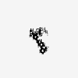 CC(C)(C)C(=O)Nc1cc(-c2cn3nc(-c4ccccc4C(F)(F)F)ccc3n2)ccc1C(F)(F)F